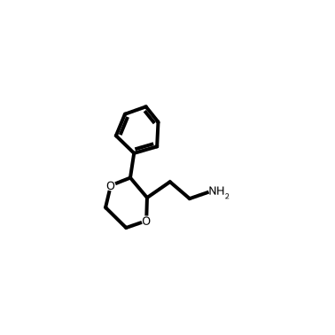 NCCC1OCCOC1c1ccccc1